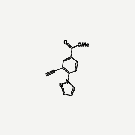 C#Cc1cc(C(=O)OC)ccc1-n1cccn1